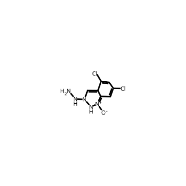 NNN1C=c2c(Cl)cc(Cl)cc2=[N+]([O-])N1